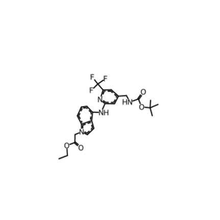 CCOC(=O)Cn1ccc2c(Nc3cc(CNC(=O)OC(C)(C)C)cc(C(F)(F)F)n3)cccc21